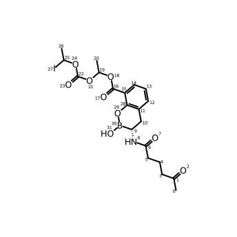 CC(=O)CCCC(=O)N[C@H]1Cc2cccc(C(=O)OC(C)OC(=O)OC(C)I)c2OB1O